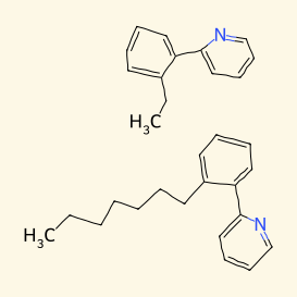 CCCCCCCc1ccccc1-c1ccccn1.CCc1ccccc1-c1ccccn1